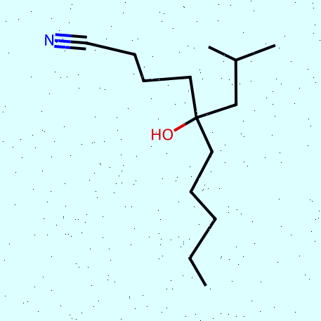 CCCCCC(O)(CCCC#N)CC(C)C